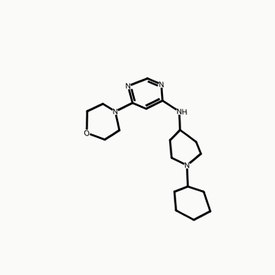 c1nc(NC2CCN(C3CCCCC3)CC2)cc(N2CCOCC2)n1